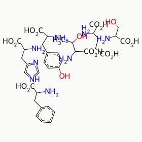 CC(O)C(N)C(=O)O.NC(CCC(=O)O)C(=O)O.NC(CO)C(=O)O.NC(Cc1c[nH]cn1)C(=O)O.NC(Cc1ccc(O)cc1)C(=O)O.NC(Cc1ccccc1)C(=O)O